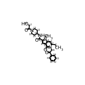 CCc1cc2c(cc(C(=O)NC3CCN(C(=O)CO)CC3)n2C)c(=O)n1CC(=O)c1ccccc1